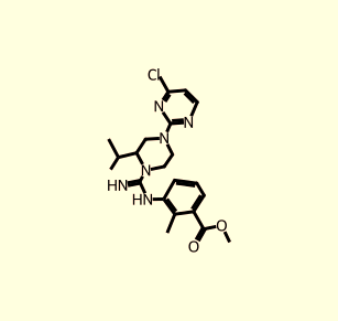 COC(=O)c1cccc(NC(=N)N2CCN(c3nccc(Cl)n3)CC2C(C)C)c1C